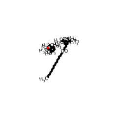 CCCCCCCCCCCCCCCCCCOC(=O)CCc1cc(C(C)(C)C)c(O)c(C(C)(C)C)c1.Cc1ccc(O)c(C(C)(C)C)c1C(C)(C)C